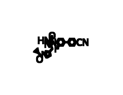 N#Cc1ccc(-c2ccc(-n3c(Cc4ccn(C(=O)C5CC5)c4)n[nH]c3=O)c(F)c2)cc1